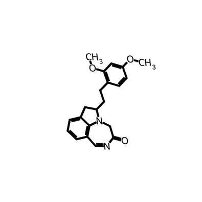 COc1ccc(CCC2Cc3cccc4c3N2CC(=O)N=C4)c(OC)c1